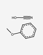 COc1ccccc1.N#CO